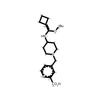 CC(C)(C)OC(NC1CCN(Cc2ccnc(C(=O)O)c2)CC1)=C1CCC1